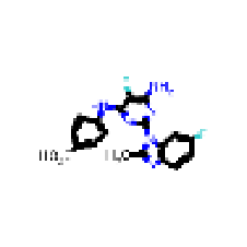 Cc1nc2ccc(F)cc2n1-c1nc(N)c(F)c(Nc2ccc(C(=O)O)cc2)n1